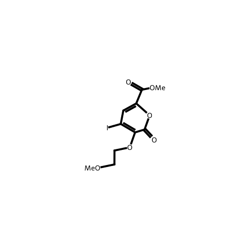 COCCOc1c(I)cc(C(=O)OC)oc1=O